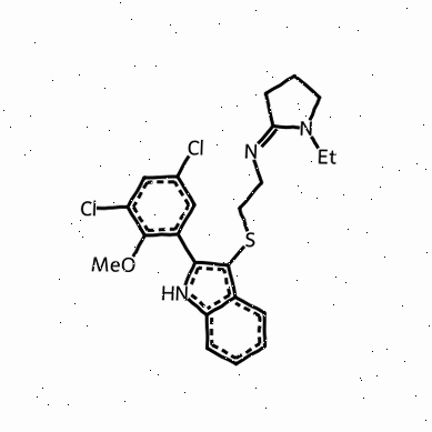 CCN1CCCC1=NCCSc1c(-c2cc(Cl)cc(Cl)c2OC)[nH]c2ccccc12